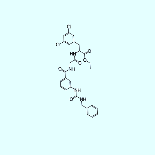 CCOC(=O)C(Cc1cc(Cl)cc(Cl)c1)NC(=O)CNC(=O)c1cccc(NC(=O)NCc2ccccc2)c1